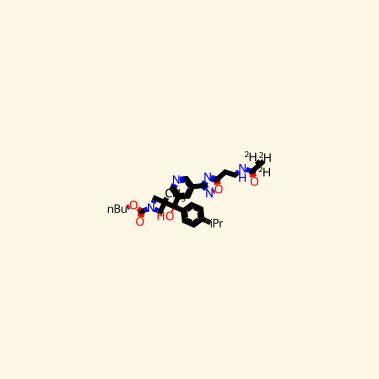 [2H]C([2H])([2H])C(=O)NCCc1nc(-c2cncc([C@@](O)(c3ccc(C(C)C)cc3)C3(C)CN(C(=O)OCCCC)C3)c2)no1